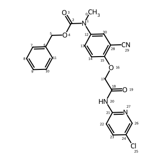 CN(C(=O)OCc1ccccc1)c1ccc(OCC(=O)Nc2ccc(Cl)cn2)c(C#N)c1